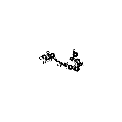 O=C(CN1CCN(c2cccc(C3CN=C4C=CC(N5CCCC5c5cccc(F)c5)=NN43)n2)CC1)NCCCCCNc1cccc2c1C(=O)N(C1CCC(=O)NC1=O)C2=O